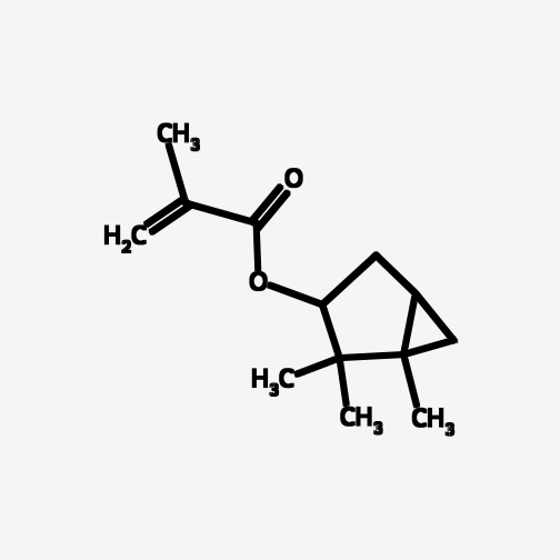 C=C(C)C(=O)OC1CC2CC2(C)C1(C)C